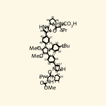 COC(=O)N[C@H](C(=O)N1CCC[C@H]1c1nc(-c2ccc(C3[C@H](OC)[C@@H](OC)[C@@H](c4ccc(-c5c[nH]c([C@@H]6CCCN6C(=O)[C@@H](NC(=O)O)C(C)C)n5)cc4)N3c3ccc(C(C)(C)C)cc3)cc2)c[nH]1)C(C)C